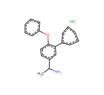 CC(N)c1ccc(Oc2ccccc2)c(-c2ccccc2)c1.Cl